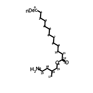 CCCCCCCCCCCCCCCCCCCCCC(=O)OCC(C)CCN